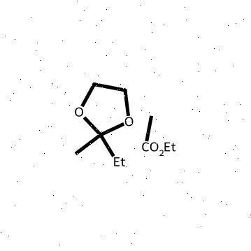 CCC1(C)OCCO1.CCOC(C)=O